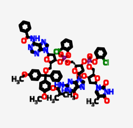 COc1ccc(C(OC[C@H]2O[C@@H](n3cnc4c(NC(=O)c5ccccc5)ncnc43)C[C@@H]2OP(=O)(OC[C@H]2OC(n3cnc4c(=O)[nH]c(NC(=O)C(C)C)nc43)C[C@@H]2OP(=O)(OC[C@H]2O[C@H](n3cc(C)c(=O)[nH]c3=O)C[C@@H]2O)Oc2ccccc2Cl)Oc2ccccc2Cl)(c2ccccc2)c2ccc(OC)cc2)cc1